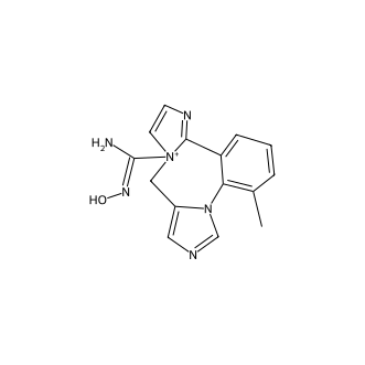 Cc1cccc2c1-n1cncc1C[N+]1(C(N)=NO)C=CN=C21